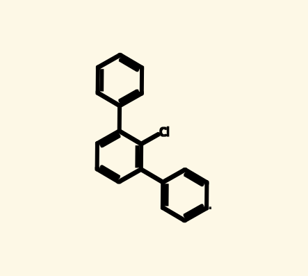 Clc1c(-c2cc[c]cc2)cccc1-c1ccccc1